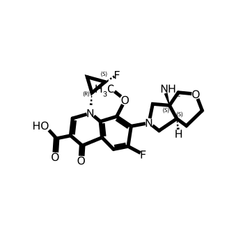 COc1c(N2C[C@@H]3CCOC[C@@]3(N)C2)c(F)cc2c(=O)c(C(=O)O)cn([C@@H]3C[C@@H]3F)c12